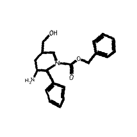 NC1CC(CO)CN(C(=O)OCc2ccccc2)C1c1ccccc1